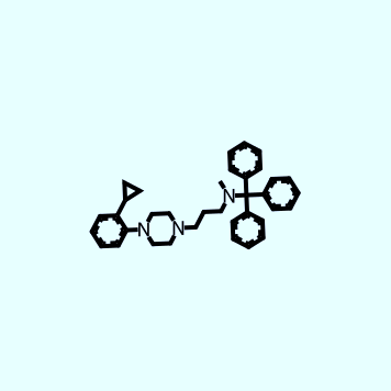 CN(CCCN1CCN(c2ccccc2C2CC2)CC1)C(c1ccccc1)(c1ccccc1)c1ccccc1